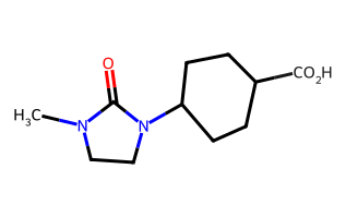 CN1CCN(C2CCC(C(=O)O)CC2)C1=O